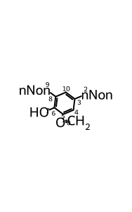 C=O.CCCCCCCCCc1ccc(O)c(CCCCCCCCC)c1